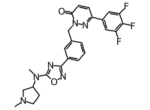 CN1CCC(N(C)c2nc(-c3cccc(Cn4nc(-c5cc(F)c(F)c(F)c5)ccc4=O)c3)no2)C1